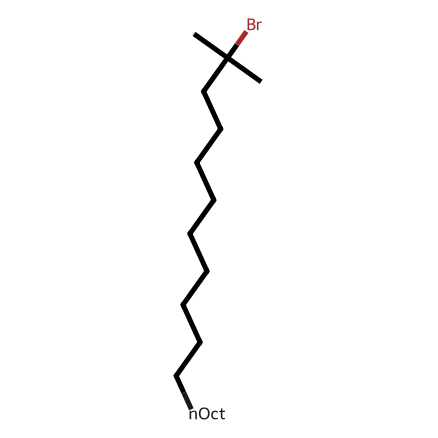 CCCCCCCCCCCCCCCCCC(C)(C)Br